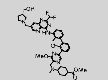 COC(=O)C1CCC(N(C)Cc2ncc(-c3cccc(-c4cccc(Nc5nc(C(F)F)nc6cc(CN7CC[C@H](CO)C7)cnc56)c4C)c3Cl)nc2OC)CC1